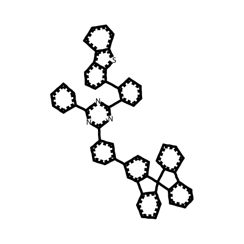 c1ccc(-c2nc(-c3cccc(-c4ccc5c(c4)-c4ccccc4C54c5ccccc5-c5ccccc54)c3)nc(-c3ccccc3-c3cccc4c3sc3ccccc34)n2)cc1